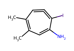 CC1=C(C)C=C(N)C(I)=C=C1